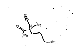 C#C[C@](N)(CCCN)C(=O)OC